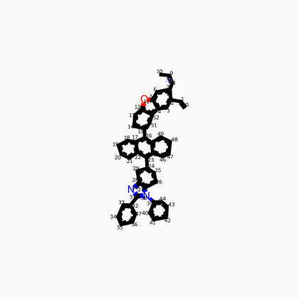 C=Cc1cc2c(cc1/C=C\C)oc1ccc(-c3c4ccccc4c(-c4ccc5c(c4)nc(-c4ccccc4)n5-c4ccccc4)c4ccccc34)cc12